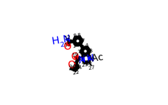 CC(=O)N1c2ccc(-c3cccc(C(N)=O)c3)cc2N(C(=O)c2ccco2)C[C@@H]1C